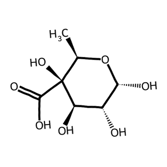 C[C@H]1O[C@H](O)[C@H](O)[C@@H](O)[C@]1(O)C(=O)O